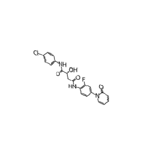 O=C(C[C@H](O)C(=O)Nc1ccc(Cl)cc1)Nc1ccc(-n2ccccc2=O)cc1F